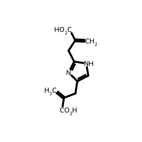 C=C(Cc1c[nH]c(CC(=C)C(=O)O)n1)C(=O)O